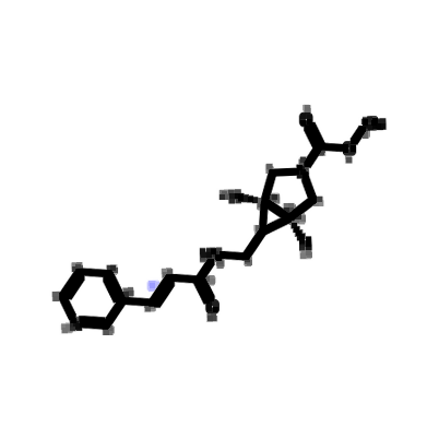 CC(C)(C)OC(=O)N1C[C@@H]2C(CNC(=O)/C=C/c3cccnc3)[C@@H]2C1